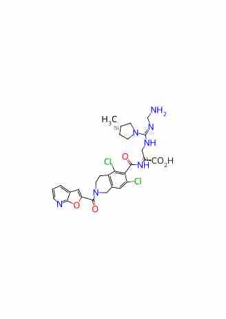 C[C@H]1CCN(/C(=N\CN)NC[C@H](NC(=O)c2c(Cl)cc3c(c2Cl)CCN(C(=O)c2cc4cccnc4o2)C3)C(=O)O)C1